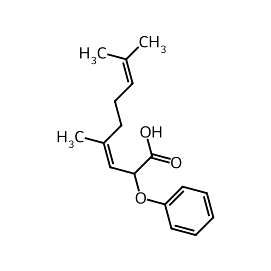 CC(C)=CCCC(C)=CC(Oc1ccccc1)C(=O)O